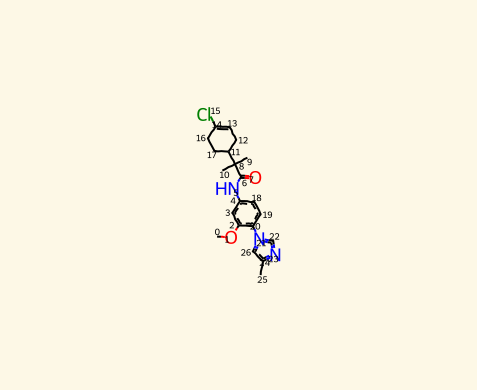 COc1cc(NC(=O)C(C)(C)C2CC=C(Cl)CC2)ccc1-n1cnc(C)c1